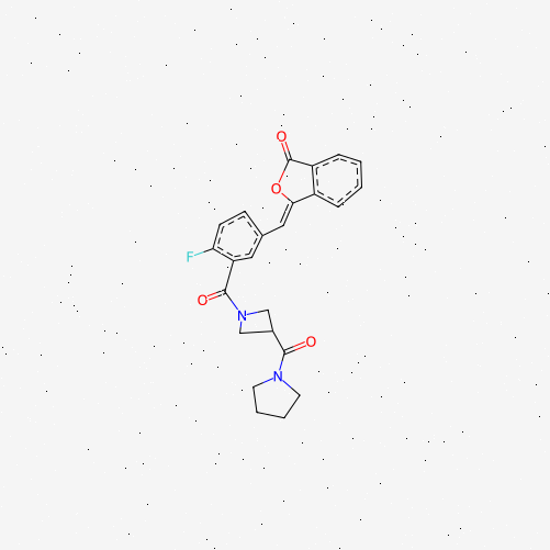 O=C1O/C(=C\c2ccc(F)c(C(=O)N3CC(C(=O)N4CCCC4)C3)c2)c2ccccc21